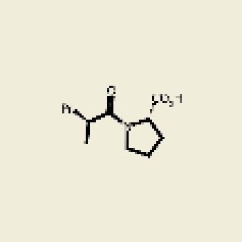 CC(C)[C@H](C)C(=O)N1CCC[C@H]1C(=O)O